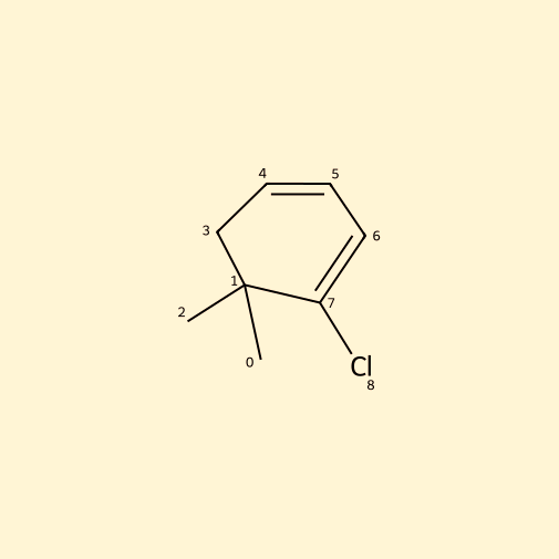 CC1(C)CC=CC=C1Cl